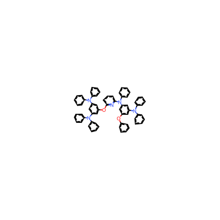 c1ccc(Oc2cc(N(c3ccccc3)c3ccccc3)cc(N(c3ccccc3)c3cccc(Oc4cc(N(c5ccccc5)c5ccccc5)cc(N(c5ccccc5)c5ccccc5)c4)n3)c2)cc1